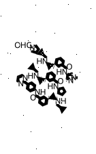 Cn1cc(NC(=O)c2cccc([C@@H]3C[C@H]3NCC3CC3)c2)cn1.O=C(NC1CCCC1)c1cccc([C@@H]2C[C@H]2NCC2CC2)c1.O=C(Nc1ccc(-c2ncccn2)cc1)c1cccc([C@@H]2C[C@H]2NCC2CC2)c1.O=CN1CCCC1